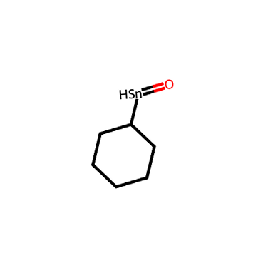 [O]=[SnH][CH]1CCCCC1